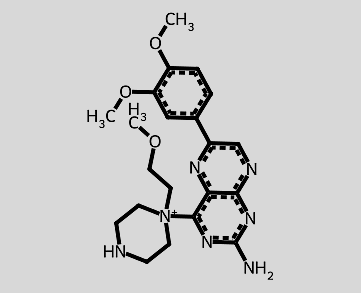 COCC[N+]1(c2nc(N)nc3ncc(-c4ccc(OC)c(OC)c4)nc23)CCNCC1